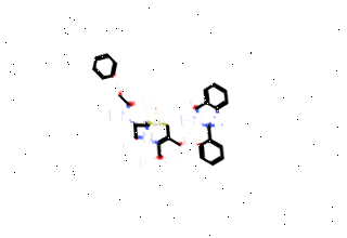 O=C(COc1ccccc1)N[C@@H]1C(=O)N2C(C(=O)O)=C(COc3ccccc3-c3nc4ccccc4c(=O)[nH]3)C[S@+]([O-])[C@@H]12